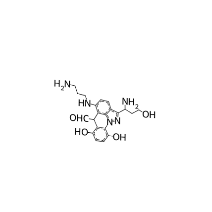 NCCCNc1ccc2c(C(N)CCO)nn3c2c1C(C=O)c1c(O)ccc(O)c1-3